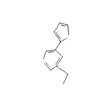 OCc1cncc(-c2cccs2)c1